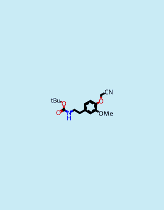 COc1cc(CCNC(=O)OC(C)(C)C)ccc1OCC#N